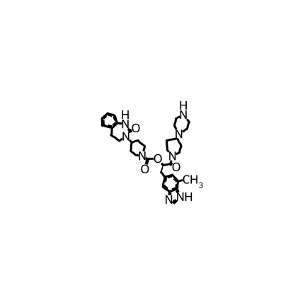 Cc1cc(C[C@@H](OC(=O)N2CCC(N3CCc4ccccc4NC3=O)CC2)C(=O)N2CCC(N3CCNCC3)CC2)cc2nc[nH]c12